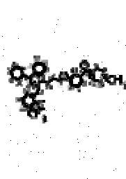 CN1CCN(C(=O)c2cccc(OCCCCN(Cc3cccc(C(F)(F)F)c3Cl)CC(c3ccccc3)c3ccccc3)c2)CC1